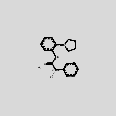 CC[C@H](C(=O)Nc1ccccc1N1CCCC1)c1ccccc1.Cl